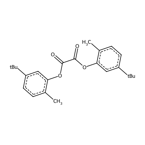 Cc1ccc(C(C)(C)C)cc1OC(=O)C(=O)Oc1cc(C(C)(C)C)ccc1C